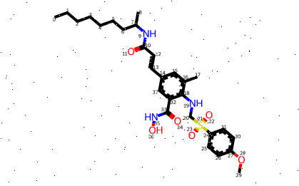 CCCCCCCC(C)NC(=O)C=Cc1cc(C)c(NCS(=O)(=O)c2ccc(OC)cc2)c(C(=O)NO)c1